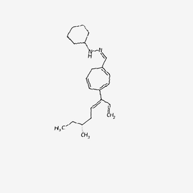 C=C/C(=C\C[C@H](C)CC)C1=CC=C(/C=N\NC2CCCCC2)CC=C1